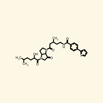 CC(C)CCC(O)C(=O)N1CC(=O)C2C1CCN2C(=O)CC(C)CCNC(=O)c1ccc(-c2cccs2)cc1